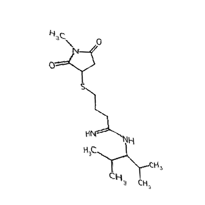 CC(C)C(NC(=N)CCCSC1CC(=O)N(C)C1=O)C(C)C